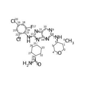 C[C@@H]1COCC[C@H]1Nc1ncc2nc(Nc3c(F)cc(Cl)cc3Cl)n([C@H]3CC[C@H](C(N)=O)CC3)c2n1